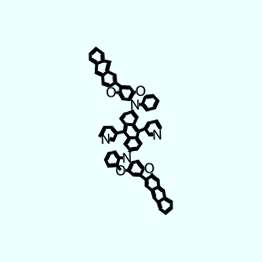 c1cncc(-c2c3ccc(N4c5ccccc5Oc5cc6c(cc54)oc4cc5cc7ccccc7cc5cc46)cc3c(-c3cccnc3)c3ccc(N4c5ccccc5Oc5cc6c(cc54)oc4cc5cc7ccccc7cc5cc46)cc23)c1